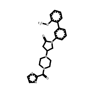 O=C(c1nccs1)N1CCN(C2CC(=O)N(c3cccc(-c4ccccc4OC(F)(F)F)c3)C2)CC1